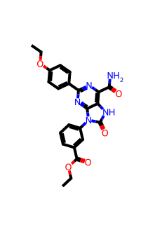 CCOC(=O)c1cccc(-n2c(=O)[nH]c3c(C(N)=O)nc(-c4ccc(OCC)cc4)nc32)c1